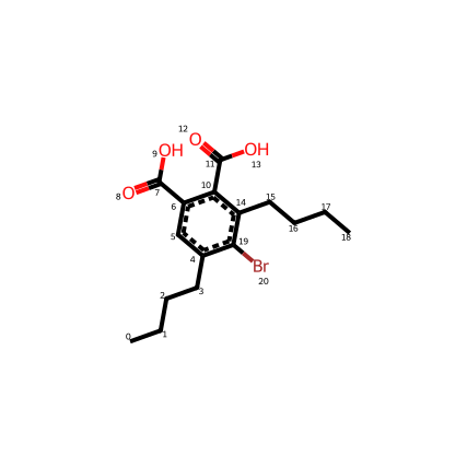 CCCCc1cc(C(=O)O)c(C(=O)O)c(CCCC)c1Br